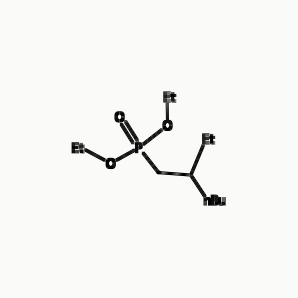 CCCCC(CC)CP(=O)(OCC)OCC